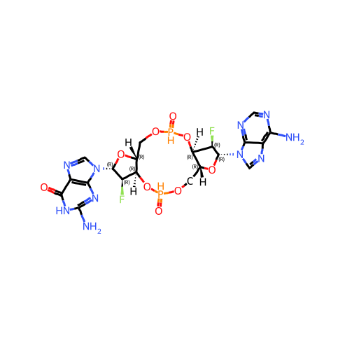 Nc1nc2c(ncn2[C@@H]2O[C@@H]3CO[PH](=O)O[C@H]4[C@@H](F)[C@H](n5cnc6c(N)ncnc65)O[C@@H]4CO[PH](=O)O[C@H]3[C@H]2F)c(=O)[nH]1